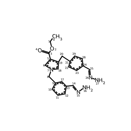 CCOC(=O)c1cn(Cc2cccc(C=NN)c2)cc1Cc1ccc(C=NN)cc1